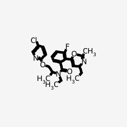 CCC1C=C(c2c(F)cccc2C(=O)N(CC)C(C)COc2ccc(Cl)cn2)OC(C)=N1